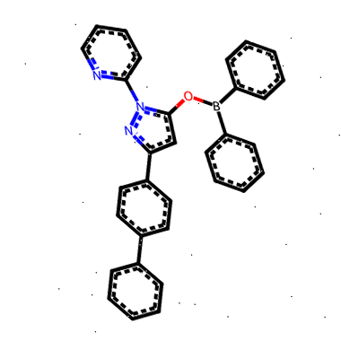 c1ccc(B(Oc2cc(-c3ccc(-c4ccccc4)cc3)nn2-c2ccccn2)c2ccccc2)cc1